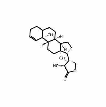 C[C@]12CC[C@H]3[C@@H](CCC4CCC=C[C@@]43C)[C@H]1CC[C@@H]2[C@@H]1COC(=O)C1C#N